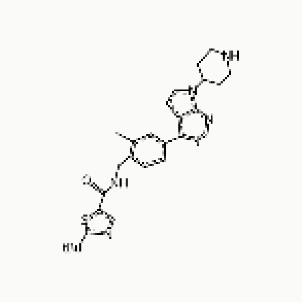 Cc1cc(-c2ncnc3c2ccn3C2CCNCC2)ccc1CNC(=O)c1cnc(C(C)(C)C)s1